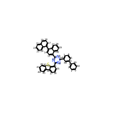 c1ccc(-c2cccc(-c3nc(-c4ccc(-c5cccc6ccccc56)c5ccccc45)nc(-c4cccc5c4sc4ccccc45)n3)c2)cc1